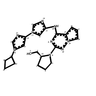 OC[C@@H]1CCCN1c1nc(Nc2cn(-c3cn(C4CCC4)cn3)cn2)c2cccn2n1